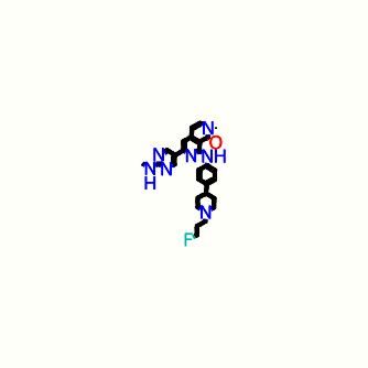 CNc1ncc(-c2cc3c(c(Nc4ccc(C5CCN(CCCF)CC5)cc4)n2)C(=O)[N]C=C3)cn1